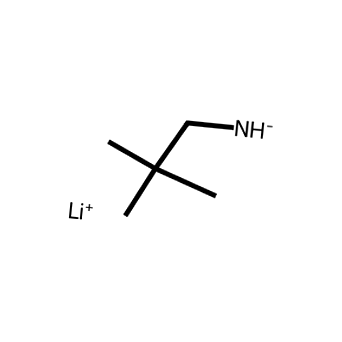 CC(C)(C)C[NH-].[Li+]